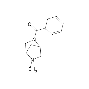 CN1CC2CC1CN2C(=O)[C]1C=CC=CC1